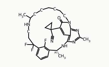 Cc1nc2c3cc(C4(C#N)CC4)c(=O)n(c3n1)CCCCCCC(C)NCCC(F)(F)c1cccc(c1F)[C@@H](C)N2